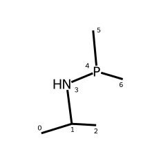 CC(C)NP(C)C